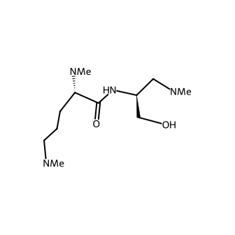 CNCCC[C@H](NC)C(=O)N[C@H](CO)CNC